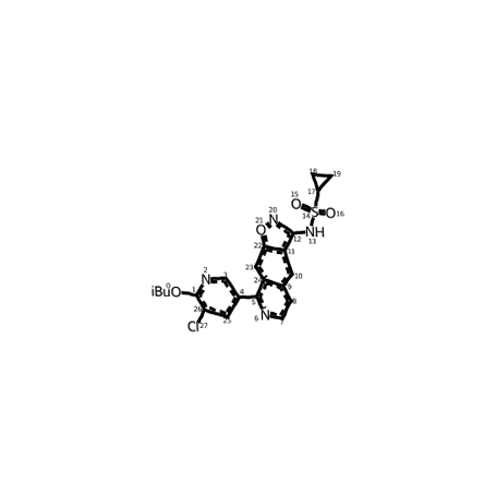 CC(C)COc1ncc(-c2nccc3cc4c(NS(=O)(=O)C5CC5)noc4cc23)cc1Cl